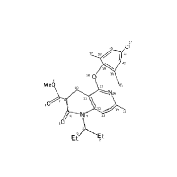 CCC(CC)N1C(=O)C(C(=O)OC)Cc2c1cc(C)nc2Oc1c(C)cc(Cl)cc1C